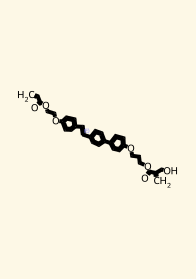 C=CC(=O)OCCOc1ccc(/C=C/c2ccc(-c3ccc(OCCCOC(=O)C(=C)CO)cc3)cc2)cc1